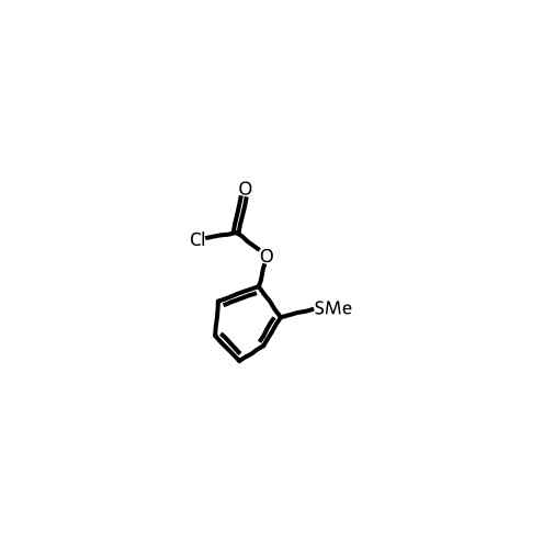 CSc1ccccc1OC(=O)Cl